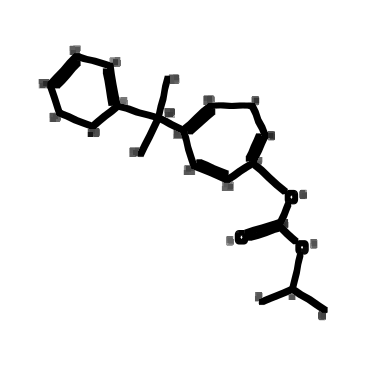 CC(C)OC(=O)OC1=CCC=C(C(C)(C)C2=CC=CCC2)C=C1